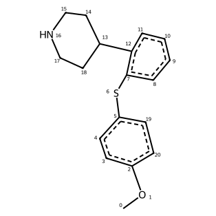 COc1ccc(Sc2ccccc2C2CCNCC2)cc1